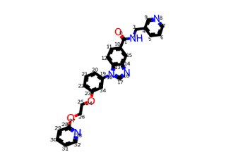 O=C(NCc1cccnc1)c1ccc2c(c1)ncn2-c1cccc(OCCOc2ccccn2)c1